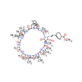 CC[C@H]1C(=O)N(C)CC(=O)N(C)C(CC(C)C)C(=O)NC(C(C)C)C(=O)N(C)[C@@H](CC(C)C)C(=O)NC(C)C(=O)N[C@H](C)[C@H](O)N(C)C(CC(C)C)C(=O)N(C)C(CC(C)C)C(=O)N(C)[C@@H](C(C)C)C(=O)N(C)[C@H]2C(=O)N1C(C/C=C/C1=CC[C@H](C(=O)OC)CC1)[C@H]2O